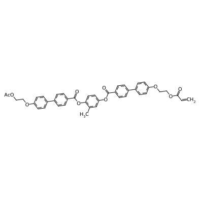 C=CC(=O)OCCOc1ccc(-c2ccc(C(=O)Oc3ccc(OC(=O)c4ccc(-c5ccc(OCCOC(C)=O)cc5)cc4)c(C)c3)cc2)cc1